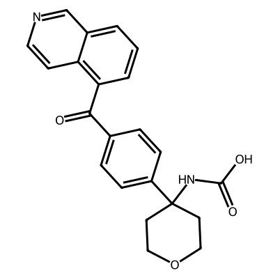 O=C(O)NC1(c2ccc(C(=O)c3cccc4cnccc34)cc2)CCOCC1